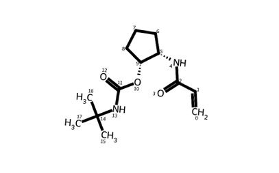 C=CC(=O)N[C@H]1CCC[C@H]1OC(=O)NC(C)(C)C